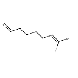 O=CCCCCC=C(F)F